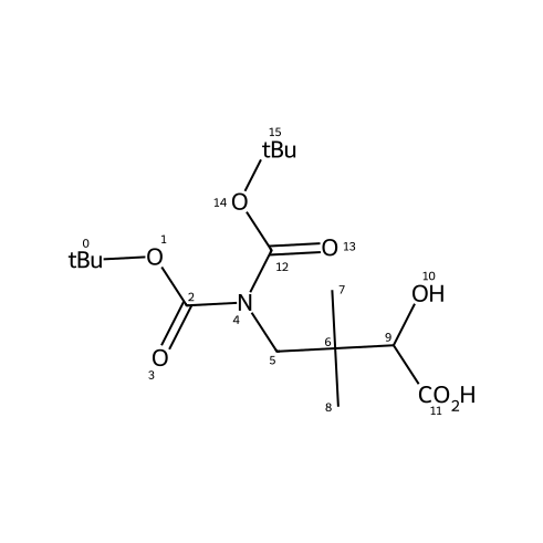 CC(C)(C)OC(=O)N(CC(C)(C)C(O)C(=O)O)C(=O)OC(C)(C)C